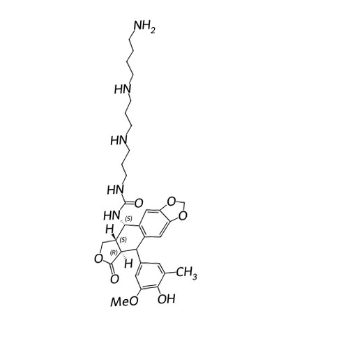 COc1cc(C2c3cc4c(cc3[C@@H](NC(=O)NCCCNCCCNCCCCN)[C@H]3COC(=O)[C@H]23)OCO4)cc(C)c1O